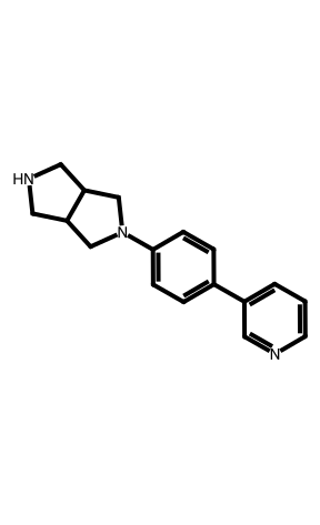 c1cncc(-c2ccc(N3CC4CNCC4C3)cc2)c1